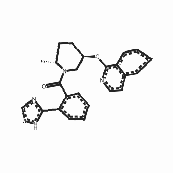 C[C@@H]1CC[C@@H](Oc2nccc3ccccc23)CN1C(=O)c1ccccc1-c1ncn[nH]1